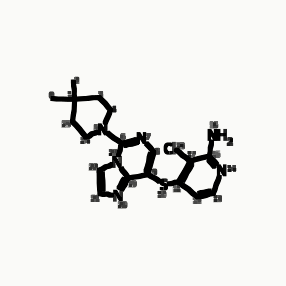 CC1(C)CCN(c2ncc(Sc3ccnc(N)c3Cl)c3nccn23)CC1